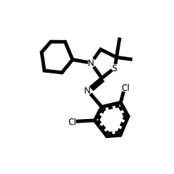 CC1(C)CN(C2CCCCC2)/C(=N/c2c(Cl)cccc2Cl)S1